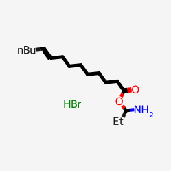 Br.CCCCC=CCCCCCCCC(=O)OC(N)CC